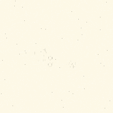 C=C(C)C(=O)OCCCCCCOc1ccccc1-c1ccccc1OC(CCCC)COC(=O)C(=C)C